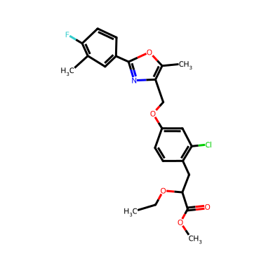 CCOC(Cc1ccc(OCc2nc(-c3ccc(F)c(C)c3)oc2C)cc1Cl)C(=O)OC